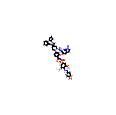 CC(C)c1ccccc1[C@H]1CCC[C@H]1N1CC2(CCN(c3ccc(C(=O)NS(=O)(=O)c4cc5c(c([N+](=O)[O-])c4)N[C@@H]([C@H]4CC[C@](C)(O)CC4)CO5)c(Oc4cc5cc[nH]c5nc4N)c3)CC2)C1